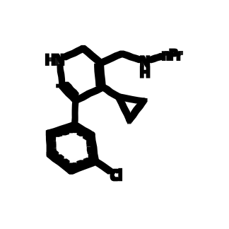 CCCNCC1=C(C2CC2)C(c2cccc(Cl)c2)=[C]NC1